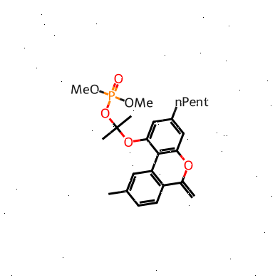 C=C1Oc2cc(CCCCC)cc(OC(C)(C)OP(=O)(OC)OC)c2-c2cc(C)ccc21